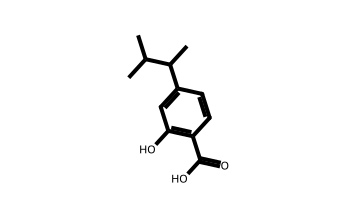 CC(C)C(C)c1ccc(C(=O)O)c(O)c1